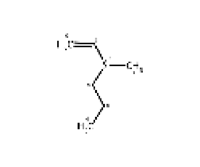 C=C[Si](C)CCC